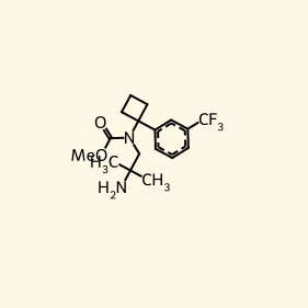 COC(=O)N(CC(C)(C)N)C1(c2cccc(C(F)(F)F)c2)CCC1